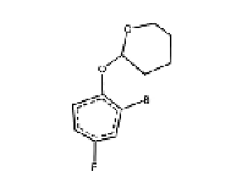 Fc1ccc(OC2CCCCO2)c(Br)c1